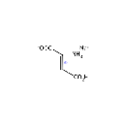 N.O=C([O-])/C=C/C(=O)O.[Na+]